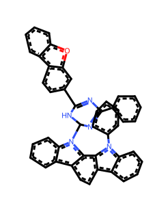 c1ccc(C2=NC(n3c4ccccc4c4ccc5c6ccccc6n(-c6ccccc6)c5c43)NC(c3ccc4c(c3)oc3ccccc34)=N2)cc1